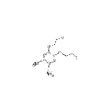 N#Cc1cc(OCCCl)c(OCCCl)cc1N